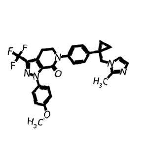 COc1ccc(-n2nc(C(F)(F)F)c3c2C(=O)N(c2ccc(C4(Cn5ccnc5C)CC4)cc2)CC3)cc1